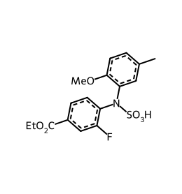 CCOC(=O)c1ccc(N(c2cc(C)ccc2OC)S(=O)(=O)O)c(F)c1